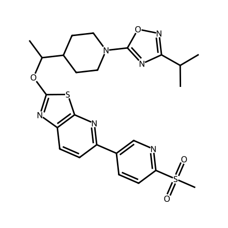 CC(C)c1noc(N2CCC(C(C)Oc3nc4ccc(-c5ccc(S(C)(=O)=O)nc5)nc4s3)CC2)n1